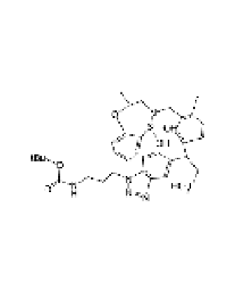 Cc1ccc(C(CC(=O)O)c2ccc3c(c2)nnn3CCCNC(=O)OC(C)(C)C)cc1CN1CC(C)Oc2ccccc2S1(O)O